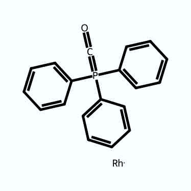 O=C=P(c1ccccc1)(c1ccccc1)c1ccccc1.[Rh]